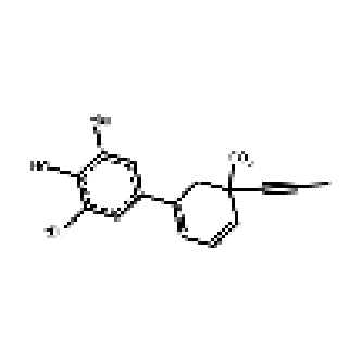 CC#CC1(C(=O)O)C=CC=C(c2cc(C(C)(C)C)c(O)c(C(C)(C)C)c2)C1